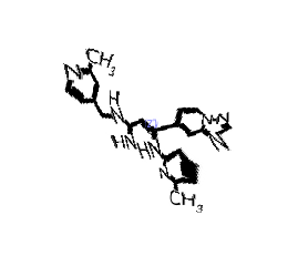 Cc1cc(CNC(=N)/C=C(\Nc2cccc(C)n2)c2ccn3ncnc3c2)ccn1